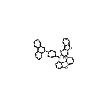 C1=CNC2C(=C1)Oc1cccc(N(c3ccc(-c4cc5ccccc5c5ccccc45)cc3)c3ccc4oc5ccccc5c4n3)c12